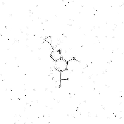 CSc1nc(C(F)(F)F)cc2cc(C3CC3)nn12